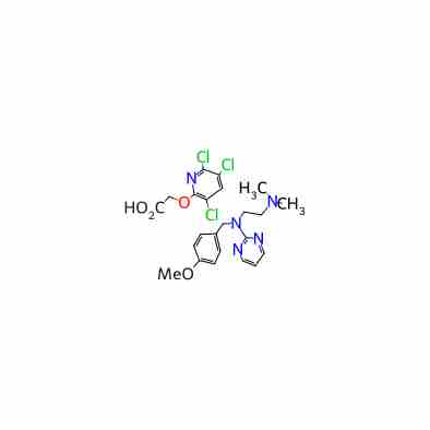 COc1ccc(CN(CCN(C)C)c2ncccn2)cc1.O=C(O)COc1nc(Cl)c(Cl)cc1Cl